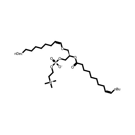 CCCC/C=C\CCCCCCCC(=O)O[C@H](CO/C=C\CCCCCCCCCCCCCCCC)COP(=O)([O-])OCC[N+](C)(C)C